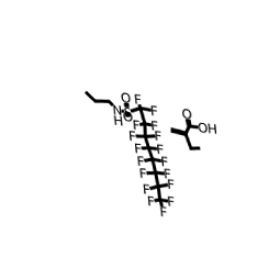 C=C(CC)C(=O)O.CCCNS(=O)(=O)C(F)(F)C(F)(F)C(F)(F)C(F)(F)C(F)(F)C(F)(F)C(F)(F)C(F)(F)F